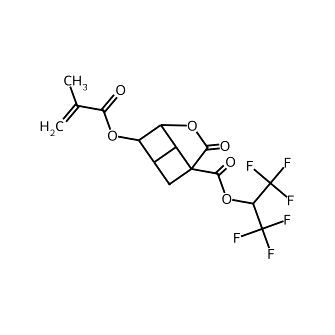 C=C(C)C(=O)OC1C2CC3(C(=O)OC(C(F)(F)F)C(F)(F)F)C(=O)OC1C23